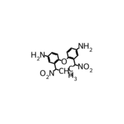 CC(c1cc(N)ccc1Oc1ccc(N)cc1C(C)[N+](=O)[O-])[N+](=O)[O-]